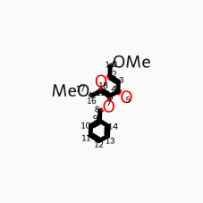 COCc1cc(=O)c(OCc2ccccc2)c(COC)o1